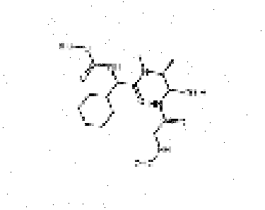 C[C@@H](C(NC(=O)CNC=O)C(=O)O)N(C)C(=O)C(NC(=O)OC(C)(C)C)C1CCCCC1